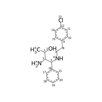 CC(O)C(N)C(NCCc1ccc(Cl)cc1)c1ccccc1